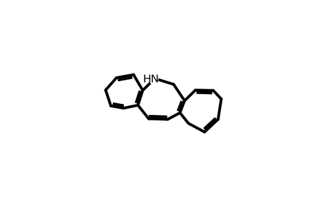 C1=CC2=C(C=CC1)NCC1=C(\C=C/2)C/C=C\C/C=C\1